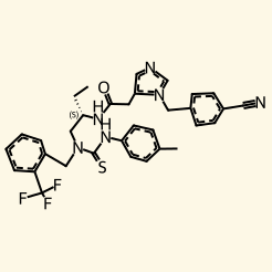 CC[C@@H](CN(Cc1ccccc1C(F)(F)F)C(=S)Nc1ccc(C)cc1)NC(=O)Cc1cncn1Cc1ccc(C#N)cc1